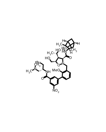 COc1c(CN2O[C@@H](CO)[C@@H]([C@H](C)O)[C@H]2C(=O)N[C@H]2C[C@H]3C[C@@H]([C@@H]2C)C3(C)C)cccc1-c1cc(C(=O)N[C@H](CN(C)C)CC(C)(C)C)cc([N+](=O)[O-])c1